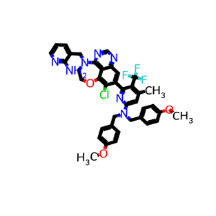 COc1ccc(CN(Cc2ccc(OC)cc2)c2cc(C)c(C(F)(F)F)c(-c3cc4ncnc5c4c(c3Cl)OCCN5Cc3cccnc3N)n2)cc1